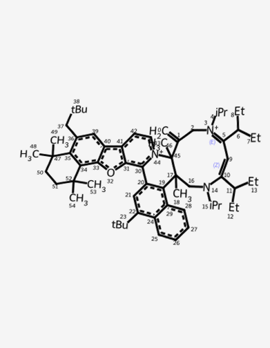 C=C1C/[N+](C(C)C)=C(C(CC)CC)\C=C(\C(CC)CC)N(C(C)C)CC2(C)c3c(cc(C(C)(C)C)c4ccccc34)-c3c4oc5c6c(c(CC(C)(C)C)cc5c4cc[n+]3C12C)C(C)(C)CCC6(C)C